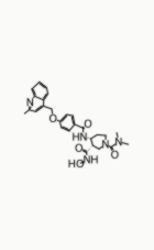 Cc1cc(COc2ccc(C(=O)N[C@@H]3CCN(C(=O)N(C)C)C[C@@H]3C(=O)NO)cc2)c2ccccc2n1